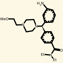 CCN(CC)C(=O)c1ccc([C@H](c2cccc(N)c2)N2CCN(CCOC)CC2)cc1